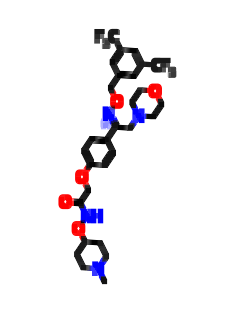 CN1CCC(ONC(=O)COc2ccc(/C(CN3CCOCC3)=N/OCc3cc(C(F)(F)F)cc(C(F)(F)F)c3)cc2)CC1